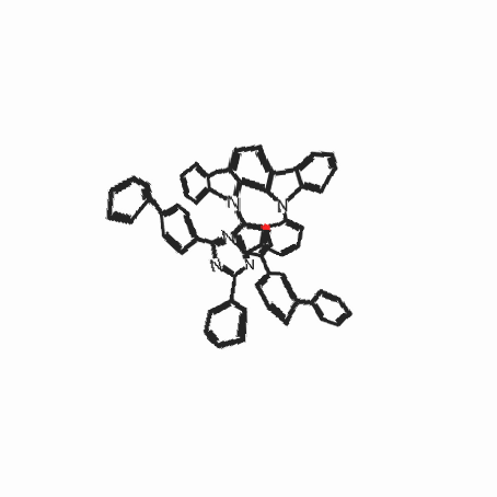 c1ccc(-c2ccc(-c3nc(-c4ccccc4)nc(-c4cccc(-n5c6ccccc6c6ccc7c8ccccc8n(-c8ccc(-c9cccc(-c%10ccccc%10)c9)cc8)c7c65)c4)n3)cc2)cc1